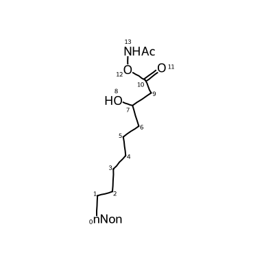 CCCCCCCCCCCCCCCC(O)CC(=O)ONC(C)=O